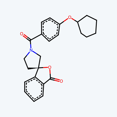 O=C1O[C@]2(CCN(C(=O)c3ccc(OC4CCCCC4)cc3)C2)c2ccccc21